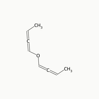 CC=C=COC=C=CC